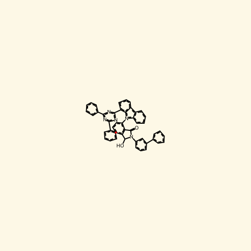 O=C1c2c(cccc2-n2c3ccccc3c3cccc(-c4nc(-c5ccccc5)nc(-c5ccccc5)n4)c32)C(O)N1c1cccc(-c2ccccc2)c1